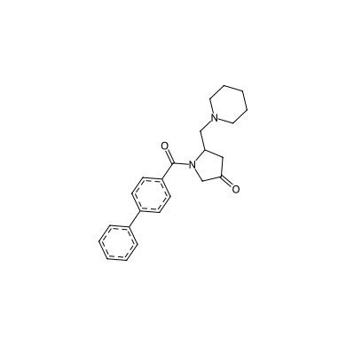 O=C1CC(CN2CCCCC2)N(C(=O)c2ccc(-c3ccccc3)cc2)C1